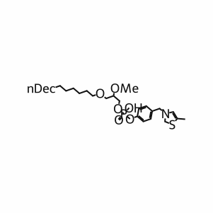 CCCCCCCCCCCCCCCCOCC(COP(=O)(O)Oc1ccc(CN2C=C(C)SC2)cc1)OC